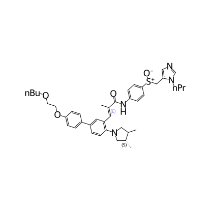 CCCCOCCOc1ccc(-c2ccc(N3CC(C)[C@H](C)C3)c(/C=C(\C)C(=O)Nc3ccc([S+]([O-])Cc4cncn4CCC)cc3)c2)cc1